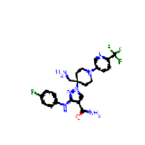 NCC1(n2cc(C(N)=O)c(Nc3ccc(F)cc3)n2)CCN(c2ccc(C(F)(F)F)nc2)CC1